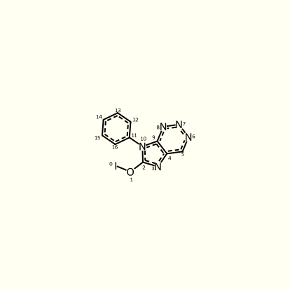 IOc1nc2cnnnc2n1-c1ccccc1